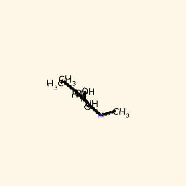 CCCCCCCC/C=C\CCCCCCCC(=O)NCCCN(CCCOCCCCCCCCCCC(C)C)CC(O)CO